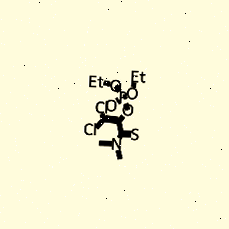 CCOP(=O)(OCC)OC(C(=S)N(C)C)=C(Cl)Cl